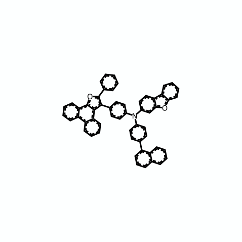 c1ccc(-c2oc3c4ccccc4c4ccccc4c3c2-c2ccc(N(c3ccc(-c4cccc5ccccc45)cc3)c3ccc4c(c3)oc3ccccc34)cc2)cc1